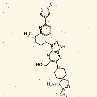 C[C@@H]1OCC2(CCN(c3nc4[nH]nc(N5CC[C@H](C)c6nc(-c7cnn(C)c7)ccc65)c4nc3CO)CC2)[C@@H]1N